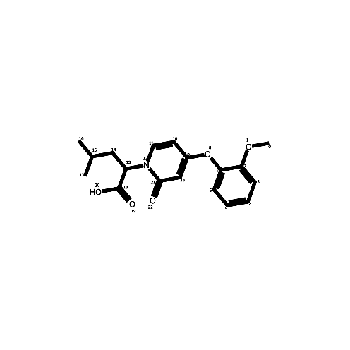 COc1ccccc1Oc1ccn(C(CC(C)C)C(=O)O)c(=O)c1